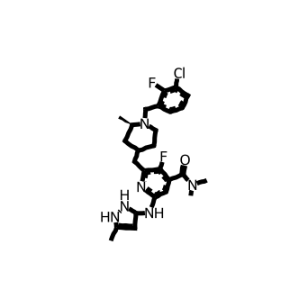 CC1=CC(Nc2cc(C(=O)N(C)C)c(F)c(CC3CCN(Cc4cccc(Cl)c4F)[C@H](C)C3)n2)NN1